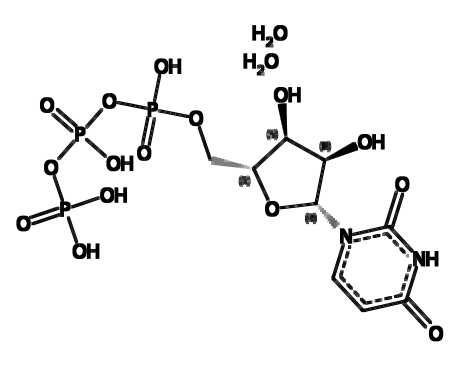 O.O.O=c1ccn([C@@H]2O[C@H](COP(=O)(O)OP(=O)(O)OP(=O)(O)O)[C@@H](O)[C@H]2O)c(=O)[nH]1